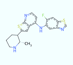 C[C@@H]1NCCCC1c1cc2c(Nc3cc4ncsc4cc3F)ccnc2s1